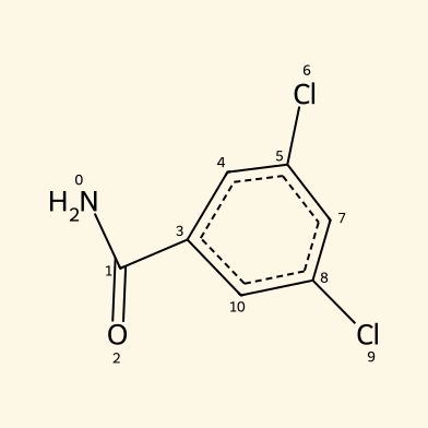 NC(=O)c1cc(Cl)cc(Cl)c1